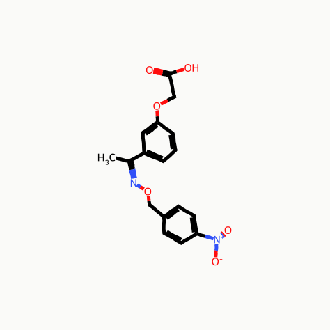 CC(=NOCc1ccc([N+](=O)[O-])cc1)c1cccc(OCC(=O)O)c1